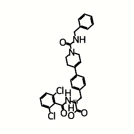 O=C(N[C@@H](Cc1ccc(C2=CCN(C(=O)NCc3ccccc3)CC2)cc1)C(=O)O)c1c(Cl)cccc1Cl